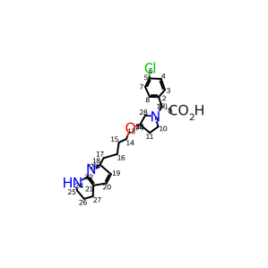 O=C(O)[C@@H](c1ccc(Cl)cc1)N1CC[C@@H](OCCCCc2ccc3c(n2)NCCC3)C1